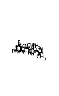 Cc1ccsc1-c1nnc(C(C)(C)Oc2c(F)cc(F)cc2F)n1C